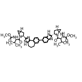 COC(=O)N[C@H](C(=O)N1C2C[C@@H]2C[C@H]1c1nc2c([nH]1)CCCc1cc(-c3ccc4nc([C@@H]5C[C@H]6C[C@H]6N5C(=O)[C@@H](NC(=O)OC)C(C)C)[nH]c4c3)ccc1-2)C(C)C